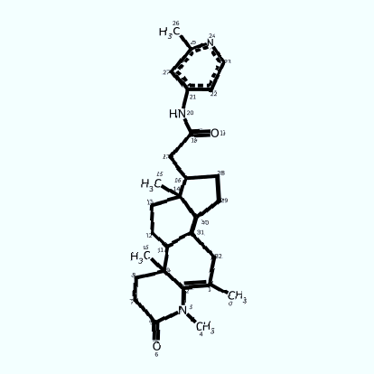 CC1=C2N(C)C(=O)CCC2(C)C2CCC3(C)C(CC(=O)Nc4ccnc(C)c4)CCC3C2C1